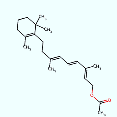 CC(=O)OCC=C(C)C=CC=C(C)CCC1=C(C)CCCC1(C)C